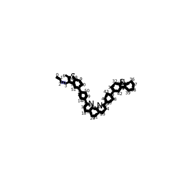 C=C/C=C\c1c(C)sc2ccc(-c3ccc(-c4ccc5ccc6ccc(-c7ccc(-c8ccc9sc%10ccccc%10c9c8)cc7)nc6c5n4)cc3)cc12